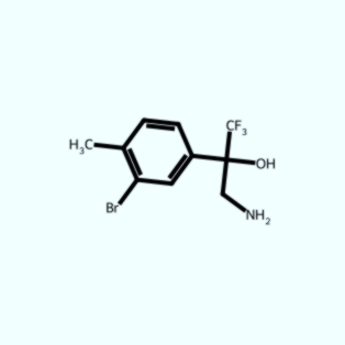 Cc1ccc(C(O)(CN)C(F)(F)F)cc1Br